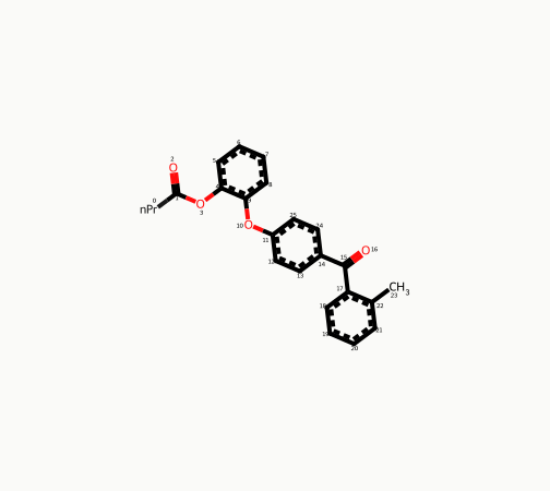 CCCC(=O)Oc1ccccc1Oc1ccc(C(=O)c2ccccc2C)cc1